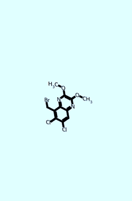 COc1nc2cc(Cl)c(Cl)c(CBr)c2nc1OC